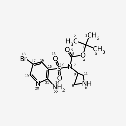 CC(C)(C)OC(=O)N(C1CNC1)S(=O)(=O)c1cc(Br)cnc1N